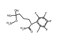 NC(=O)N(CCCC(O)(O)O[SiH3])c1c(F)c(F)c(F)c(F)c1F